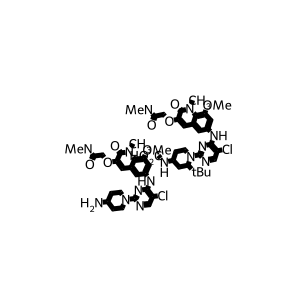 CNC(=O)COc1cc2cc(Nc3nc(N4CCC(N)CC4)ncc3Cl)cc(OC)c2n(C)c1=O.CNC(=O)COc1cc2cc(Nc3nc(N4CCC(NC(=O)O)CC4C(C)(C)C)ncc3Cl)cc(OC)c2n(C)c1=O